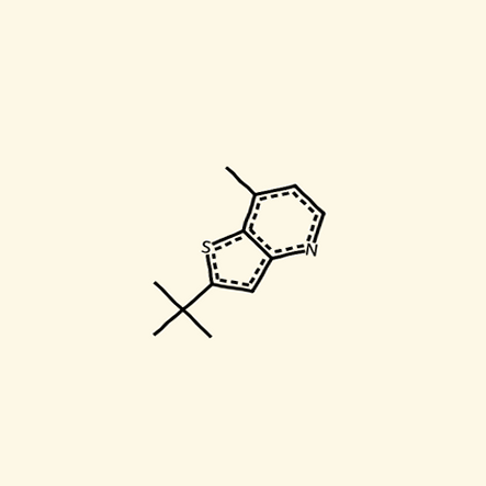 Cc1ccnc2cc(C(C)(C)C)sc12